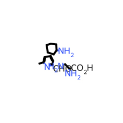 Cc1cccc(C=O)n1.NC1CCCCC1.NC[C@H](N)C(=O)O